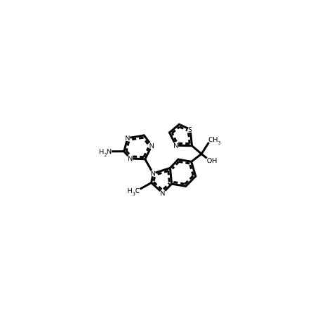 Cc1nc2ccc(C(C)(O)c3nccs3)cc2n1-c1ncnc(N)n1